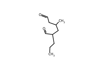 CCCC(C=O)CC(C)CC=O